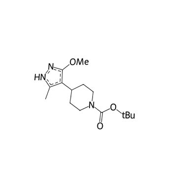 COc1n[nH]c(C)c1C1CCN(C(=O)OC(C)(C)C)CC1